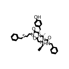 C#CCN1CC(=O)N([C@@H](Cc2ccc(O)cc2)C(=O)N(C)CCSCc2ccccc2)[C@H](C)N1C(=O)NCc1ccccc1